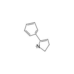 C1=C(c2ccccc2)[N]CC1